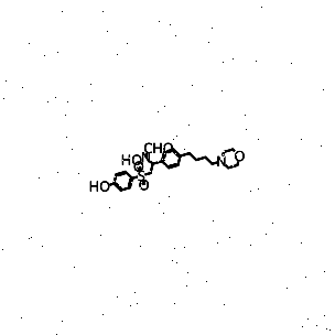 O=CN(O)C(CS(=O)(=O)c1ccc(O)cc1)c1ccc(CCCCN2CCOCC2)cc1